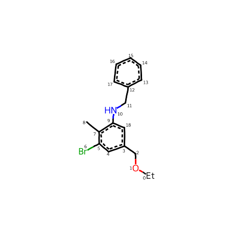 CCOCc1cc(Br)c(C)c(NCc2ccccc2)c1